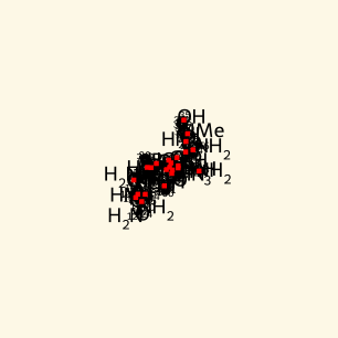 CCCC[C@@H](C(=O)N(C)[C@@H](CCCC)C(=O)N[C@@H](CCCNC(=N)N)C(=O)NC(CSCC(=O)N[C@@H](Cc1ccc(O)cc1)C(=O)NC)C(=O)NCC(N)=O)N(C)C(=O)[C@H](Cc1csc2ccccc12)NC(=O)[C@H](CO)NC(=O)[C@H](Cc1c[nH]c2ccccc12)NC(=O)[C@@H]1C[C@@H](O)CN1C(=O)[C@H](CC(N)=O)NC(=O)[C@H](Cc1cnc[nH]1)NC(=O)[C@@H]1CCCN1C(=O)[C@@H](N)CC(N)=O